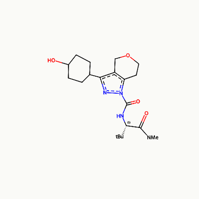 CNC(=O)[C@@H](NC(=O)n1nc(C2CCC(O)CC2)c2c1CCOC2)C(C)(C)C